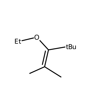 CCOC(=C(C)C)C(C)(C)C